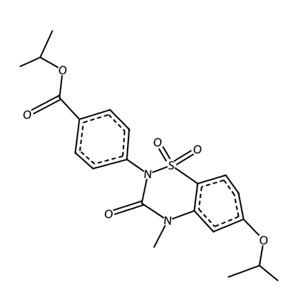 CC(C)OC(=O)c1ccc(N2C(=O)N(C)c3cc(OC(C)C)ccc3S2(=O)=O)cc1